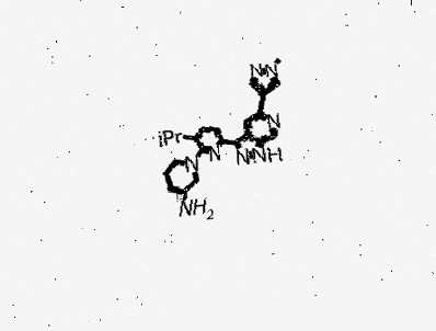 CC(C)c1ccc(-c2n[nH]c3cnc(-c4cnn(C)c4)cc23)nc1N1CCC[C@H](N)C1